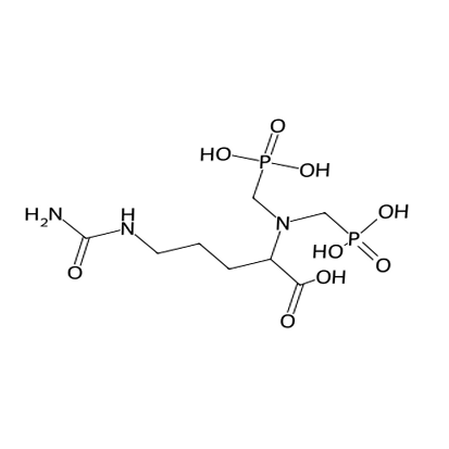 NC(=O)NCCCC(C(=O)O)N(CP(=O)(O)O)CP(=O)(O)O